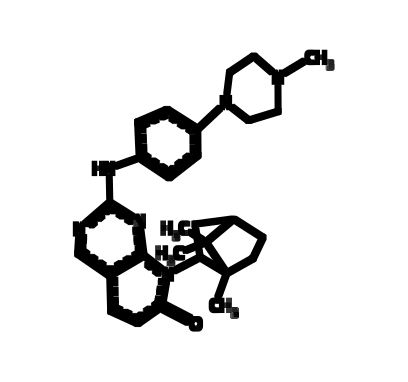 CN1CCN(c2ccc(Nc3ncc4ccc(=O)n(C5CC6CCC5(C)C6(C)C)c4n3)cc2)CC1